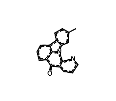 Cc1ccc2c3cccc4c(=O)c5cccnc5n(c2c1)c43